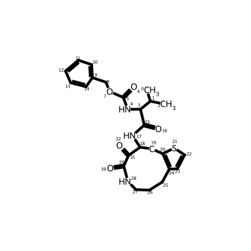 CC(C)C(NC(=O)OCc1ccccc1)C(=O)NC1Cc2sccc2CCCNC(=O)C1=O